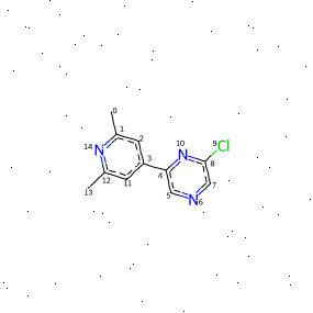 Cc1cc(-c2cncc(Cl)n2)cc(C)n1